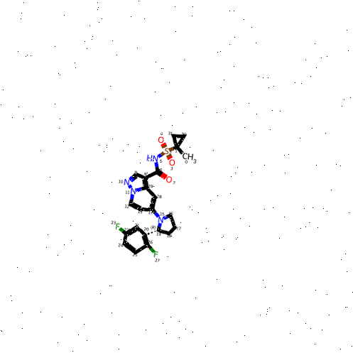 CC1(S(=O)(=O)NC(=O)c2cnn3ccc(N4CCC[C@@H]4c4cc(F)ccc4F)cc23)CC1